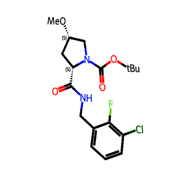 CO[C@H]1C[C@@H](C(=O)NCc2cccc(Cl)c2F)N(C(=O)OC(C)(C)C)C1